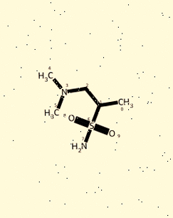 CC(CN(C)C)S(N)(=O)=O